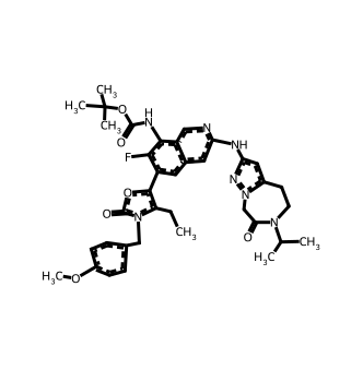 CCc1c(-c2cc3cc(Nc4cc5n(n4)CC(=O)N(C(C)C)CC5)ncc3c(NC(=O)OC(C)(C)C)c2F)oc(=O)n1Cc1ccc(OC)cc1